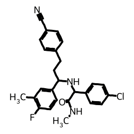 CNC(=O)C(NC(CCc1ccc(C#N)cc1)c1ccc(F)c(C)c1)c1ccc(Cl)cc1